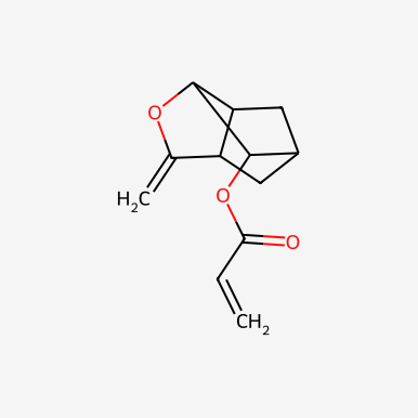 C=CC(=O)OC1C2CC3C(=C)OC1C3C2